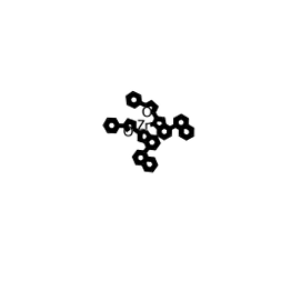 C1=C(c2ccc(-c3ccccc3)o2)[CH]([Zr][CH]2C(c3ccc(-c4ccccc4)o3)=Cc3c(-c4cccc5ccccc45)cccc32)c2cccc(-c3cccc4ccccc34)c21